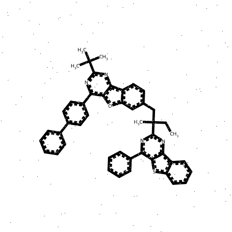 CCC(C)(Cc1ccc2c(c1)oc1c(-c3ccc(-c4ccccc4)cc3)nc(C(C)(C)C)nc12)c1nc(-c2ccccc2)c2sc3ccccc3c2n1